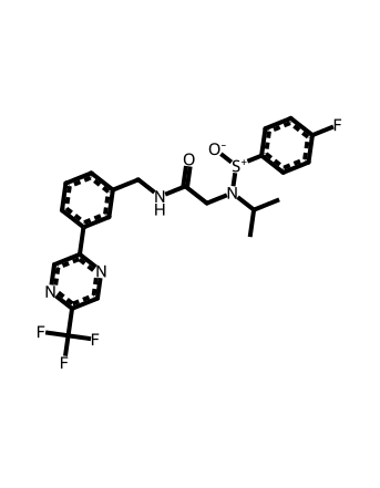 CC(C)N(CC(=O)NCc1cccc(-c2cnc(C(F)(F)F)cn2)c1)[S+]([O-])c1ccc(F)cc1